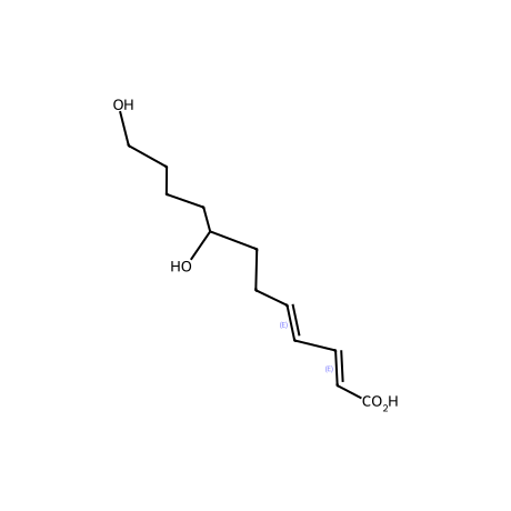 O=C(O)/C=C/C=C/CCC(O)CCCCO